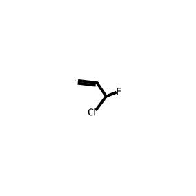 [CH]=CC(F)Cl